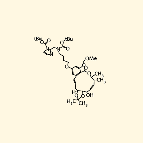 COCOc1cc(OCCCCN(Cc2nccn2C(=O)OC(C)(C)C)C(=O)OC(C)(C)C)cc2c1C(=O)O[C@@H](C)[C@H](C)/C=C\C(O)C1OC(C)(C)O[C@H]1C/C=C/2